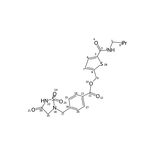 CC(C)CNC(=O)c1ccc(COC(=O)c2ccc(CN3CC(=O)NS3(=O)=O)cc2)s1